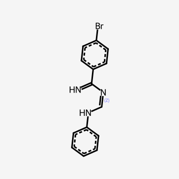 N=C(/N=C\Nc1ccccc1)c1ccc(Br)cc1